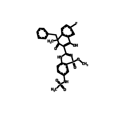 COP1(=O)N=C(C2=C(O)c3cc(F)ccc3C(C)(Cc3ccccc3)C2=O)Nc2ccc(NS(C)(=O)=O)cc21